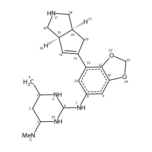 CNC1CC(C)NC(Nc2cc3c(c(C4=C[C@H]5CNC[C@H]5C4)c2)OCO3)N1